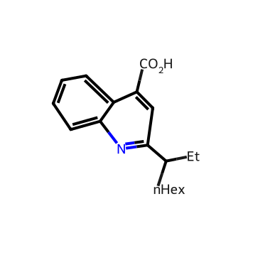 CCCCCCC(CC)c1cc(C(=O)O)c2ccccc2n1